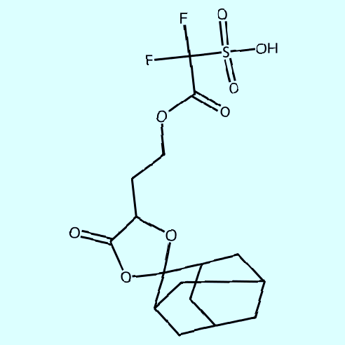 O=C1OC2(OC1CCOC(=O)C(F)(F)S(=O)(=O)O)C1CC3CC(C1)CC2C3